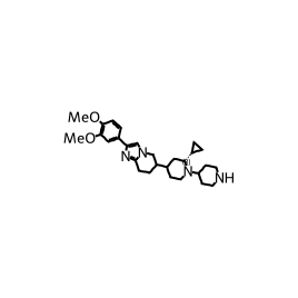 COc1ccc(-c2cn3c(n2)CCC(C2CCN(C4CCNCC4)[C@@H](C4CC4)C2)C3)cc1OC